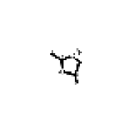 CC1COC(C)O1.[K]